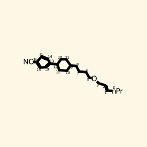 CCC/C=C/COCCCCC1CCC(c2ccc(C#N)cc2)CC1